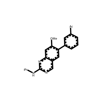 COc1cc2nc(NC(C)C)ncc2cc1-c1cccc(C(C)=O)c1